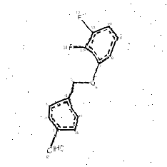 O=Cc1ccc(COc2cccc(F)c2F)cc1